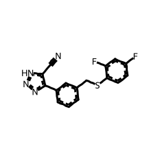 N#Cc1[nH]nnc1-c1cccc(CSc2ccc(F)cc2F)c1